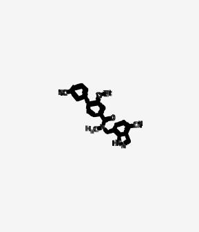 CCOc1cc(C(=O)N(C)Cc2ccc(C#N)c3cn[nH]c23)ccc1-c1cccc(C#N)c1